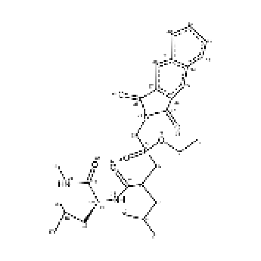 CCOP(=O)(CC(CC(C)C)C(=O)N[C@@H](CC(C)C)C(=O)NC)CN1C(=O)c2cc3ccccc3cc2C1=O